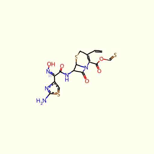 C=CC1=C(C(=O)OC=S)N2C(=O)C(NC(=O)/C(=N\O)c3csc(N)n3)C2SC1